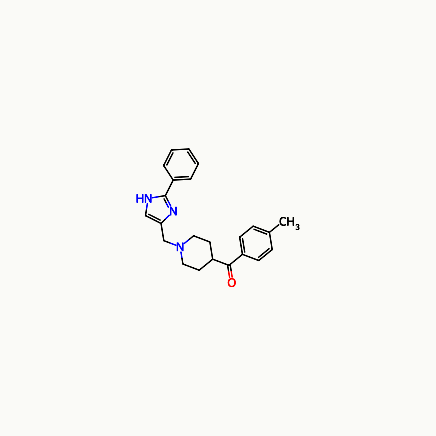 Cc1ccc(C(=O)C2CCN(Cc3c[nH]c(-c4ccccc4)n3)CC2)cc1